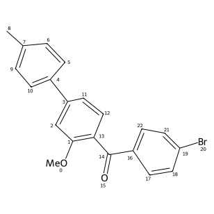 COc1cc(-c2ccc(C)cc2)ccc1C(=O)c1ccc(Br)cc1